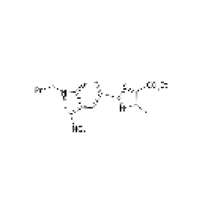 CCOC(=O)c1sc(-c2ccc3c(c2)c([N+](=O)[O-])cn3CC(C)C)nc1C